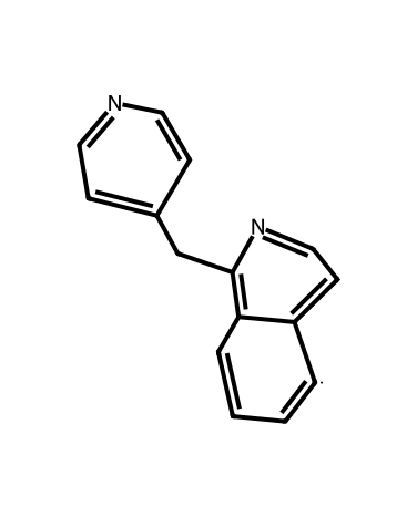 [c]1cccc2c(Cc3ccncc3)nccc12